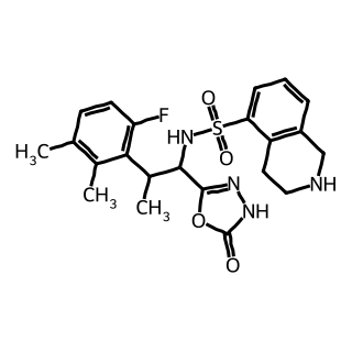 Cc1ccc(F)c(C(C)C(NS(=O)(=O)c2cccc3c2CCNC3)c2n[nH]c(=O)o2)c1C